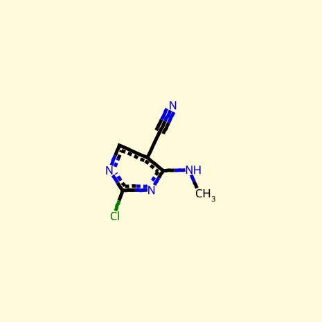 CNc1nc(Cl)ncc1C#N